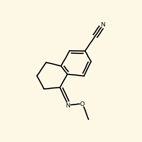 CO/N=C1/CCCc2cc(C#N)ccc21